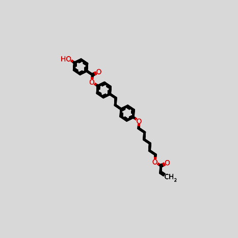 C=CC(=O)OCCCCCCOc1ccc(CCc2ccc(OC(=O)c3ccc(O)cc3)cc2)cc1